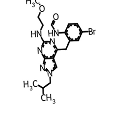 COCCNc1nc(Cc2cc(Br)ccc2NC=O)c2cn(CC(C)C)nc2n1